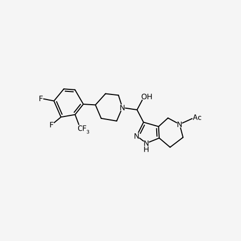 CC(=O)N1CCc2[nH]nc(C(O)N3CCC(c4ccc(F)c(F)c4C(F)(F)F)CC3)c2C1